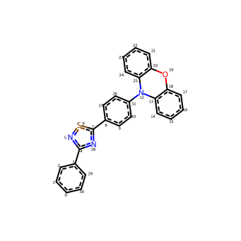 c1ccc(-c2nsc(-c3ccc(N4c5ccccc5Oc5ccccc54)cc3)n2)cc1